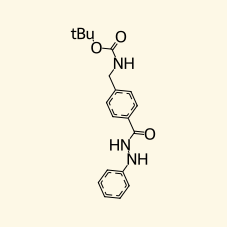 CC(C)(C)OC(=O)NCc1ccc(C(=O)NNc2ccccc2)cc1